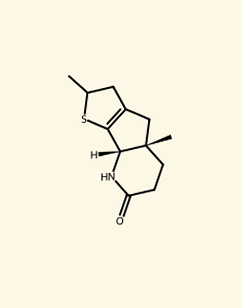 CC1CC2=C(S1)[C@H]1NC(=O)CC[C@@]1(C)C2